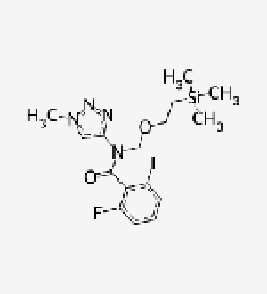 Cn1cc(N(COCC[Si](C)(C)C)C(=O)c2c(F)cccc2I)nn1